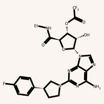 CCNC(=O)[C@@H]1O[C@@H](n2cnc3c(N)nc(N4CC[C@H](c5ccc(F)cc5)C4)nc32)[C@@H](O)[C@H]1OC(=O)C(F)(F)F